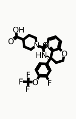 O=C(O)C1CCN(C(=O)N[C@]2(c3ccc(OC(F)(F)F)c(F)c3)CCOc3cccnc32)CC1